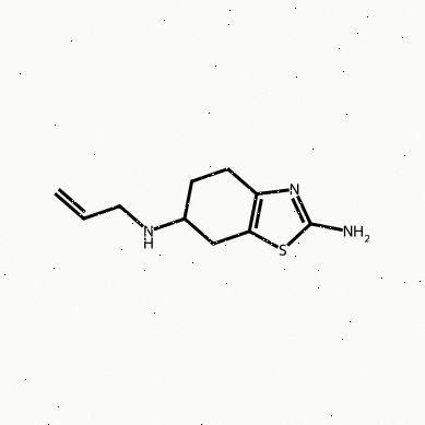 C=CCNC1CCc2nc(N)sc2C1